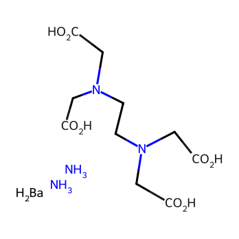 N.N.O=C(O)CN(CCN(CC(=O)O)CC(=O)O)CC(=O)O.[BaH2]